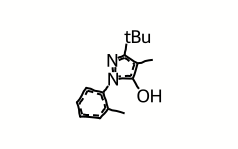 Cc1ccccc1-n1nc(C(C)(C)C)c(C)c1O